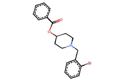 O=C(OC1CCN(Cc2ccccc2Br)CC1)c1ccccc1